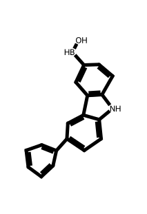 OBc1ccc2[nH]c3ccc(-c4ccccc4)cc3c2c1